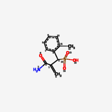 C=C(C(N)=O)C(c1ccccc1C)S(=O)(=O)O